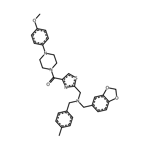 COc1ccc(N2CCN(C(=O)c3csc(CN(Cc4ccc(C)cc4)Cc4ccc5c(c4)OCO5)n3)CC2)cc1